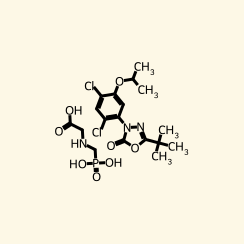 CC(C)Oc1cc(-n2nc(C(C)(C)C)oc2=O)c(Cl)cc1Cl.O=C(O)CNCP(=O)(O)O